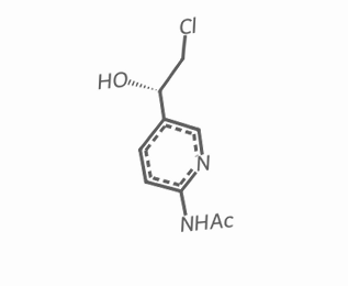 CC(=O)Nc1ccc([C@H](O)CCl)cn1